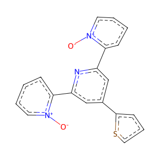 [O-][n+]1ccccc1-c1cc(-c2cccs2)cc(-c2cccc[n+]2[O-])n1